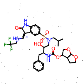 CC(C)CN(CC(O)C(Cc1ccccc1)NC(=O)OC1COC2OCCC12)S(=O)(=O)c1ccc2c(c1)/C(=C/NCC(F)(F)F)C(=O)N2